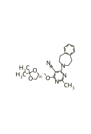 Cc1nc(OC[C@@H]2COC(C)(C)O2)c(C#N)c(N2CCc3ccccc3CC2)n1